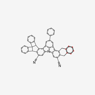 N#Cc1cc2c(c3c1C1c4ccccc4C3c3ccccc31)c1cc(-c3ccccc3)cc3c4c5c(c(C#N)cc4n2c13)C1c2ccccc2C12c1ccccc1C52